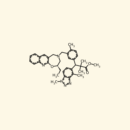 CC[C@@H]1CN(Cc2cc(C(c3ccc4c(nnn4C)c3C)C(C)(C)C(=O)OC)ccc2C)Cc2cc3ccccc3nc2O1